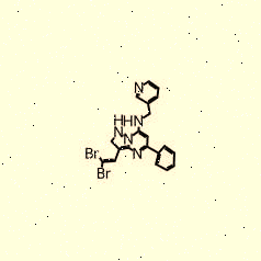 BrC(Br)=CC1=C2N=C(c3ccccc3)C=C(NCc3cccnc3)N2NC1